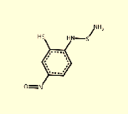 NSNc1ccc(N=O)cc1S